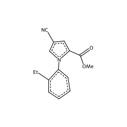 CCc1ccccc1-n1cc(C#N)cc1C(=O)OC